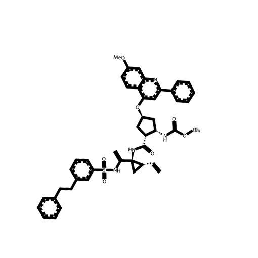 C=C[C@@H]1C[C@]1(NC(=O)[C@@H]1C[C@@H](Oc2cc(-c3ccccc3)nc3cc(OC)ccc23)C[C@@H]1NC(=O)OC(C)(C)C)C(=C)NS(=O)(=O)c1cccc(CCc2ccccc2)c1